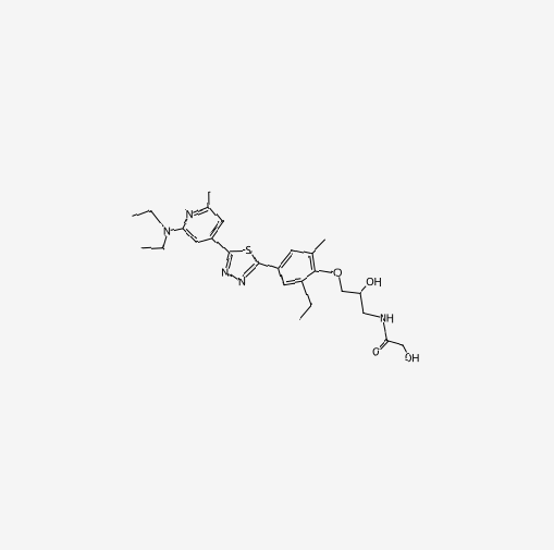 CCc1cc(-c2nnc(-c3cc(C)nc(N(CC)CC)c3)s2)cc(C)c1OCC(O)CNC(=O)CO